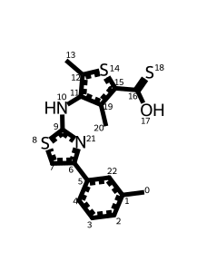 Cc1cccc(-c2csc(Nc3c(C)sc(C(O)=S)c3C)n2)c1